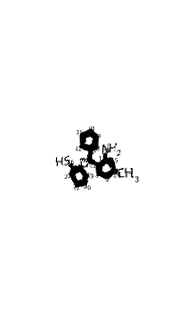 Cc1ccc(C(=O)c2ccccc2)c(N)c1.Sc1ccccc1